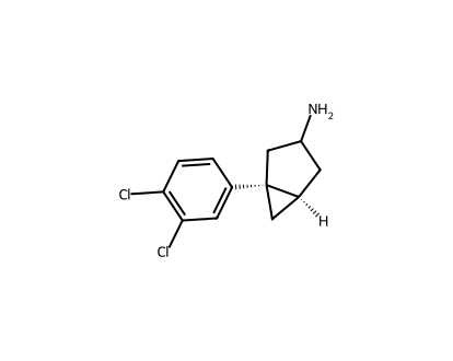 NC1C[C@H]2C[C@@]2(c2ccc(Cl)c(Cl)c2)C1